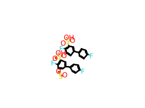 O=S(=O)(O)c1cc(-c2ccc(F)cc2)ccc1F.O=S(=O)(O)c1cc(-c2ccc(F)cc2)ccc1F.O=S=O